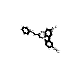 [C-]#[N+]c1ccc2c(c1)c1cc([N+]#[C-])ccc1n2CC(O)COc1ccccc1